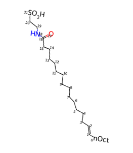 CCCCCCCCC=CCCCCCCCCCCCCCC(=O)NCCS(=O)(=O)O